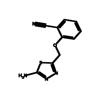 N#Cc1ccccc1OCc1nnc(N)s1